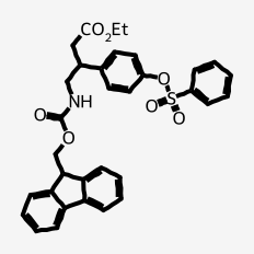 CCOC(=O)CC(CNC(=O)OCC1c2ccccc2-c2ccccc21)c1ccc(OS(=O)(=O)c2ccccc2)cc1